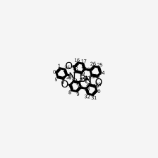 c1cc2c3c(c1)Oc1ccc4c5c1N3c1c(ccc3c1B5N1c5c(cccc5-3)Oc3cccc-4c31)O2